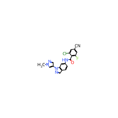 Cn1cc(-n2ncc3ccc(NC(=O)c4c(F)cc(C#N)cc4Cl)cc32)cn1